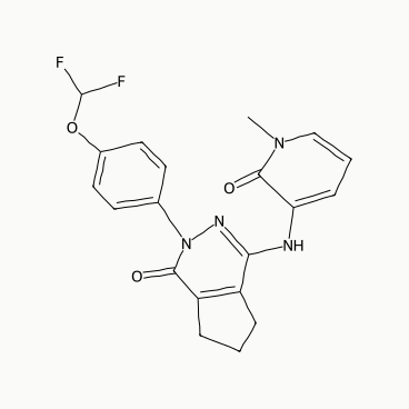 Cn1cccc(Nc2nn(-c3ccc(OC(F)F)cc3)c(=O)c3c2CCC3)c1=O